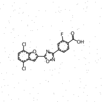 O=C(O)c1ccc(-c2noc(-c3cc4c(Cl)ccc(Cl)c4o3)n2)cc1F